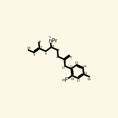 C=C(CCC(CCC)C/C(C)=C/C)Cc1ccc(C)cc1F